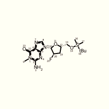 Cn1c(N)nc2c(ncn2[C@@H]2O[C@H](CO[Si](C)(C)C(C)(C)C)C[C@H]2F)c1=O